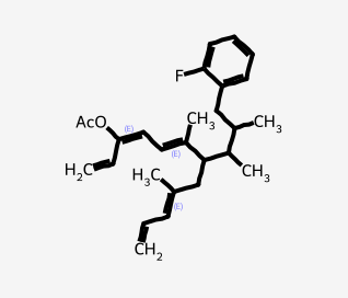 C=C/C=C(\C)CC(/C(C)=C/C=C(\C=C)OC(C)=O)C(C)C(C)Cc1ccccc1F